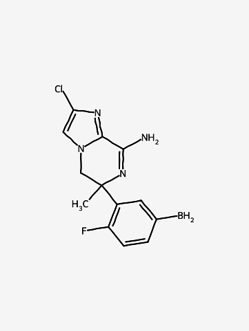 Bc1ccc(F)c(C2(C)Cn3cc(Cl)nc3C(N)=N2)c1